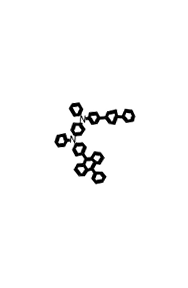 c1ccc(-c2ccc(-c3ccc(N(c4ccccc4)c4ccc(N(c5ccccc5)c5ccc(-c6c7ccccc7c(-c7ccccc7)c7ccccc67)cc5)cc4)cc3)cc2)cc1